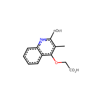 CCCCCCCCc1nc2ccccc2c(OCC(=O)O)c1C